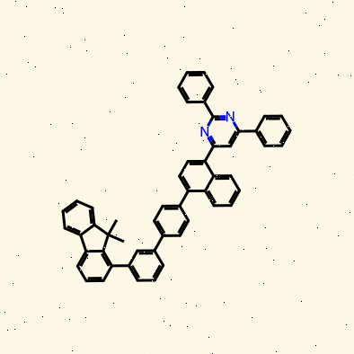 CC1(C)c2ccccc2-c2cccc(-c3cccc(-c4ccc(-c5ccc(-c6cc(-c7ccccc7)nc(-c7ccccc7)n6)c6ccccc56)cc4)c3)c21